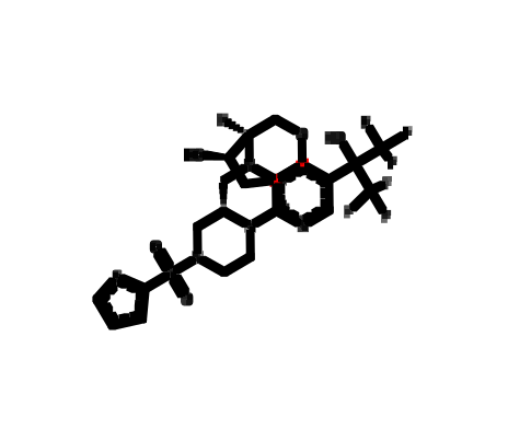 O=S(=O)(c1cccs1)N1CCN(c2ncc(C(O)(C(F)(F)F)C(F)(F)F)cn2)[C@@H](CN2[C@H]3COC[C@@H]2[C@H](O)C3)C1